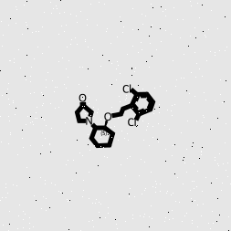 O=C1CCN(C2CCCC[C@@H]2OCCc2c(Cl)cccc2Cl)C1